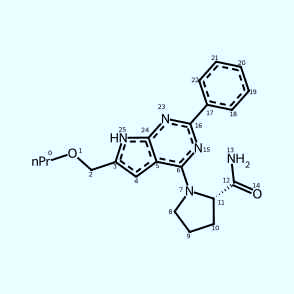 CCCOCc1cc2c(N3CCC[C@H]3C(N)=O)nc(-c3ccccc3)nc2[nH]1